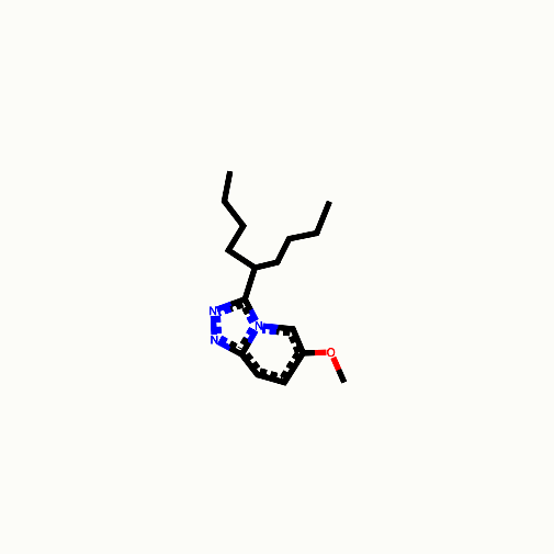 CCCCC(CCCC)c1nnc2ccc(OC)cn12